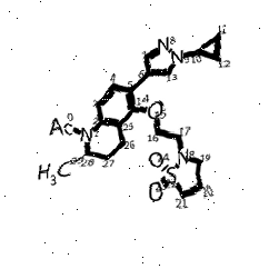 CC(=O)N1c2ccc(-c3cnn(C4CC4)c3)c(OCCN3CCCS3(=O)=O)c2CC[C@@H]1C